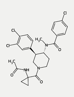 CC(=O)NC1(C(=O)N2CC[C@@H](N(C)C(=O)c3ccc(Cl)cc3)[C@H](c3ccc(Cl)c(Cl)c3)C2)CC1